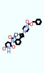 Cn1c(=O)n(C2CCC(=O)NC2=O)c2cccc(C34CC(N5CCN(C(=O)OCc6ccccc6)CC5)(C3)C4)c21